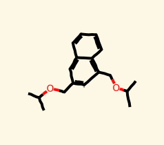 CC(C)OCc1[c]c(COC(C)C)c2ccccc2c1